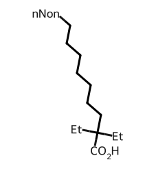 CCCCCCCCCCCCCCCCC(CC)(CC)C(=O)O